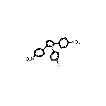 O=[N+]([O-])c1ccc(-c2ccc(-c3ccc([N+](=O)[O-])cc3)n2-c2ccc(F)cc2)cc1